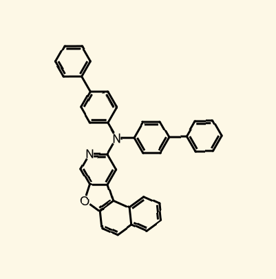 c1ccc(-c2ccc(N(c3ccc(-c4ccccc4)cc3)c3cc4c(cn3)oc3ccc5ccccc5c34)cc2)cc1